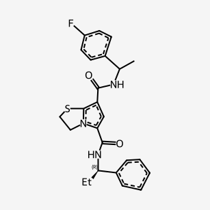 CC[C@@H](NC(=O)c1cc(C(=O)NC(C)c2ccc(F)cc2)c2n1CCS2)c1ccccc1